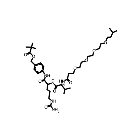 CC(C)CCOCCOCCOCCOCCC(=O)N[C@@H](C(=O)NC(CCCNC(N)=O)C(=O)Nc1ccc(COC(=O)C(C)(C)C)cc1)C(C)C